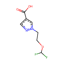 O=C(O)c1cnn(CCOC(F)F)c1